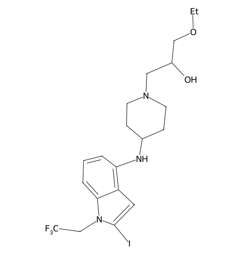 CCOCC(O)CN1CCC(Nc2cccc3c2cc(I)n3CC(F)(F)F)CC1